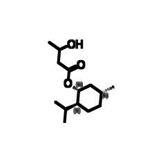 CC(O)CC(=O)O[C@@H]1C[C@H](C)CC[C@H]1C(C)C